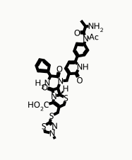 CC(=O)N(C(=O)C(C)N)c1ccc(-c2ccc(CN(C(=O)C(N)c3ccccc3)C3C(=O)N4C(C(=O)O)=C(CSC5=NN(C)CS5)CS[C@@H]34)c(=O)[nH]2)cc1